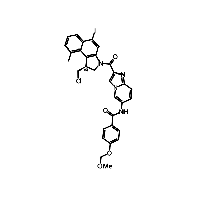 COCOc1ccc(C(=O)Nc2ccc3nc(C(=O)N4C[C@@H](CCl)c5c4cc(I)c4cccc(C)c54)cn3c2)cc1